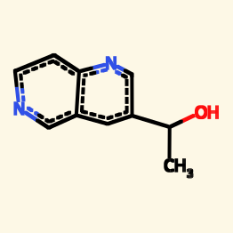 CC(O)c1cnc2ccncc2c1